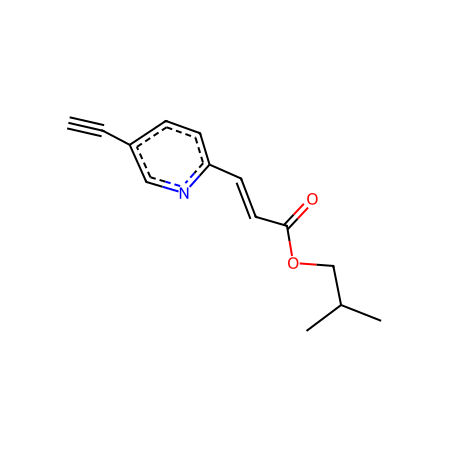 C#Cc1ccc(/C=C/C(=O)OCC(C)C)nc1